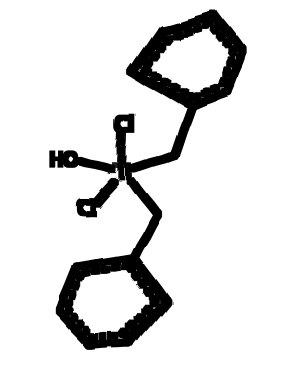 [OH][Ti]([Cl])([Cl])([CH2]c1ccccc1)[CH2]c1ccccc1